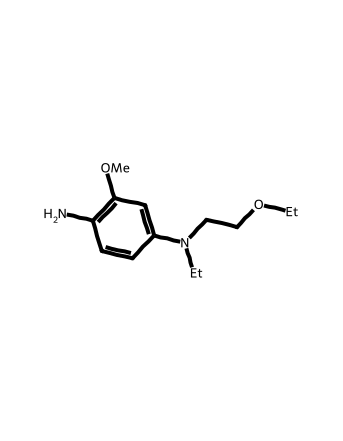 CCOCCN(CC)c1ccc(N)c(OC)c1